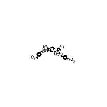 N=C(NC(=O)OCc1ccc([N+](=O)[O-])cc1)N1CCCN(C(=O)[C@@H]2C[C@H](S)CN2C(=O)OCc2ccc([N+](=O)[O-])cc2)CC1